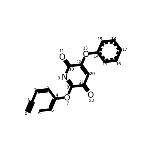 C#C/C=C\C(=C/C)OC1=NC(=O)C(Oc2ccccc2)=CC1=O